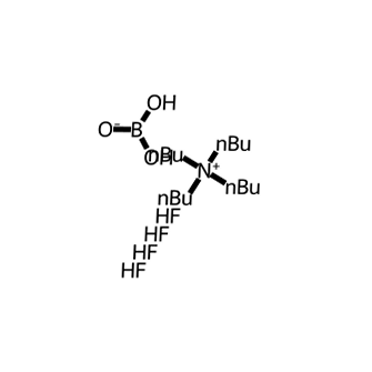 CCCC[N+](CCCC)(CCCC)CCCC.F.F.F.F.[O-]B(O)O